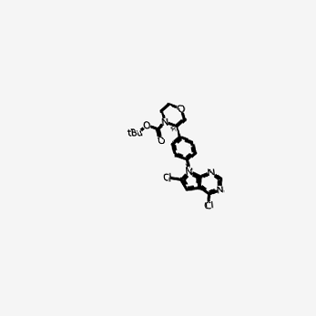 CC(C)(C)OC(=O)N1CCOC[C@H]1c1ccc(-n2c(Cl)cc3c(Cl)ncnc32)cc1